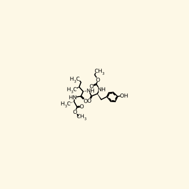 CCOC(=O)N[C@@H](Cc1ccc(O)cc1)C(=O)N[C@H](C(=O)N[C@@H](C)C(=O)OC)[C@@H](C)CC